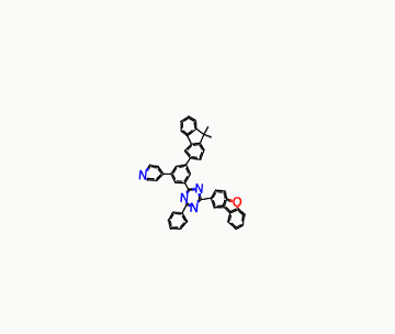 CC1(C)c2ccccc2-c2cc(-c3cc(-c4ccncc4)cc(-c4nc(-c5ccccc5)nc(-c5ccc6oc7ccccc7c6c5)n4)c3)ccc21